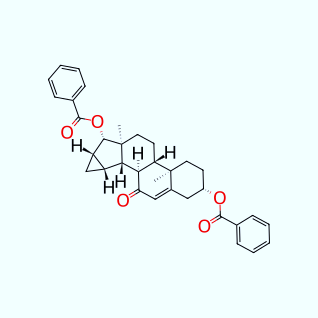 C[C@]12CC[C@H]3[C@@H](C(=O)C=C4C[C@@H](OC(=O)c5ccccc5)CC[C@@]43C)[C@@H]1[C@@H]1C[C@@H]1[C@@H]2OC(=O)c1ccccc1